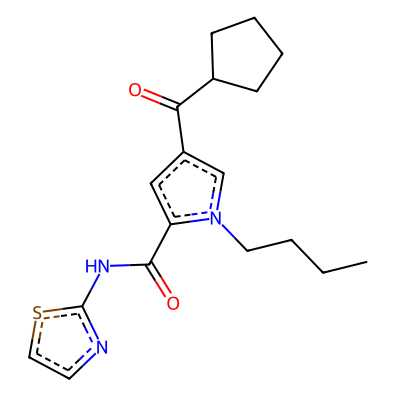 CCCCn1cc(C(=O)C2CCCC2)cc1C(=O)Nc1nccs1